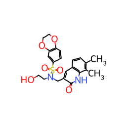 Cc1ccc2cc(CN(CCO)S(=O)(=O)c3ccc4c(c3)OCCO4)c(=O)[nH]c2c1C